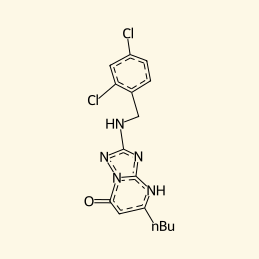 CCCCc1cc(=O)n2nc(NCc3ccc(Cl)cc3Cl)nc2[nH]1